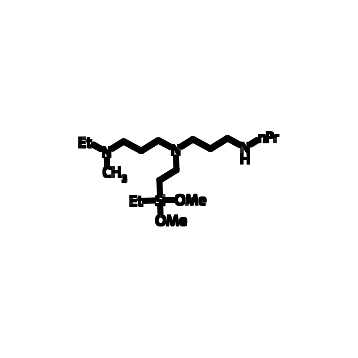 CCCNCCCN(CCCN(C)CC)CC[Si](CC)(OC)OC